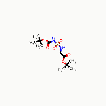 CC(C)(C)OC(=O)CNS(=O)(=O)NC(=O)OC(C)(C)C